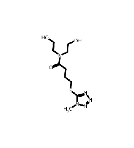 Cn1nnnc1SCCCC(=O)N(CCO)CCO